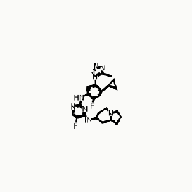 Cc1nnnn1-c1cc(Nc2ncc(F)c(NC3CCN4CCCC4C3)n2)c(F)cc1C1CC1